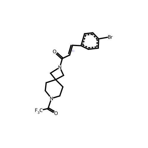 O=C(/C=C/c1ccc(Br)cc1)N1CC2(CCN(C(=O)C(F)(F)F)CC2)C1